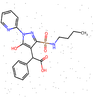 CCCCNS(=O)(=O)c1nn(-c2ccccn2)c(O)c1C(C(=O)O)c1ccccc1